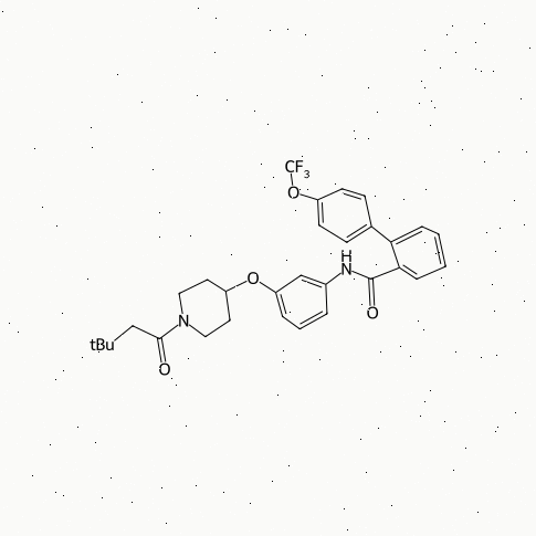 CC(C)(C)CC(=O)N1CCC(Oc2cccc(NC(=O)c3ccccc3-c3ccc(OC(F)(F)F)cc3)c2)CC1